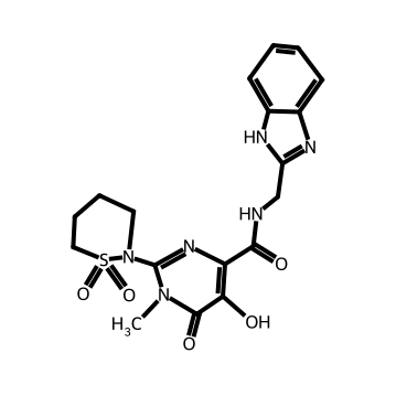 Cn1c(N2CCCCS2(=O)=O)nc(C(=O)NCc2nc3ccccc3[nH]2)c(O)c1=O